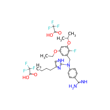 CCCCc1c[nH]c(N(Cc2cc(OCC)cc(OC(C)C)c2F)c2ccc(C(=N)N)cc2)n1.O=C(O)C(F)(F)F.O=C(O)C(F)(F)F